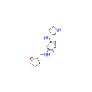 c1nc(NC[C@@H]2CCCO2)cc(N[C@@H]2CCNC2)n1